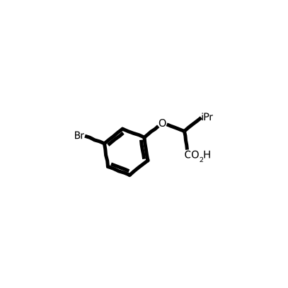 CC(C)C(Oc1cccc(Br)c1)C(=O)O